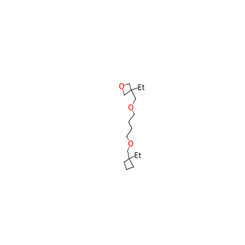 CCC1(COCCCCOCC2(CC)COC2)CCC1